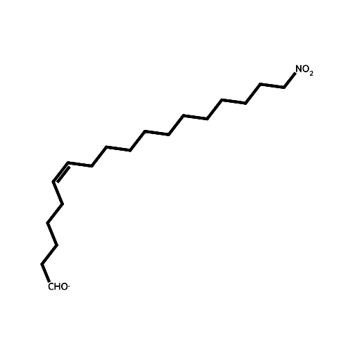 O=[C]CCCC/C=C\CCCCCCCCCCC[N+](=O)[O-]